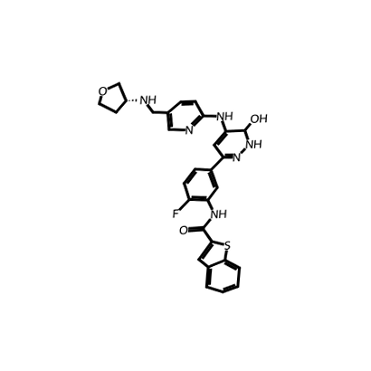 O=C(Nc1cc(C2=NNC(O)C(Nc3ccc(CN[C@@H]4CCOC4)cn3)=C2)ccc1F)c1cc2ccccc2s1